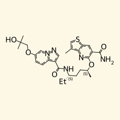 CC[C@@H](CC[C@H](C)Oc1nc2c(C)csc2cc1C(N)=O)NC(=O)c1cnn2cc(OCC(C)(C)O)ccc12